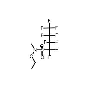 CCON(C)S(=O)(=O)C(F)(F)C(F)(F)C(F)(F)C(F)(F)F